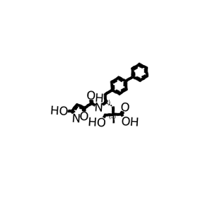 C[C@@](CO)(C[C@@H](Cc1ccc(-c2ccccc2)cc1)NC(=O)c1cc(O)no1)C(=O)O